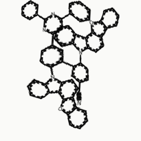 N#Cc1ccc(-n2c3ccccc3c3c4oc5ccccc5c4ccc32)c(-c2cc(-c3cc(-c4ccccc4)nc(-c4ccccc4)n3)ccc2-n2c3ccccc3c3c4oc5ccccc5c4ccc32)c1